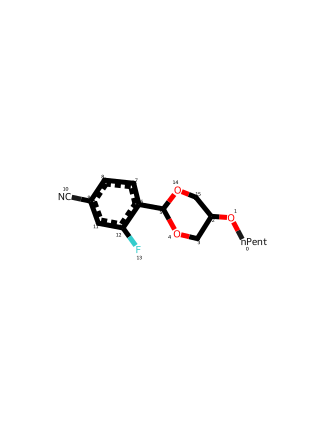 CCCCCOC1COC(c2ccc(C#N)cc2F)OC1